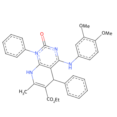 CCOC(=O)C1=C(C)Nc2c(c(Nc3ccc(OC)c(OC)c3)nc(=O)n2-c2ccccc2)C1c1ccccc1